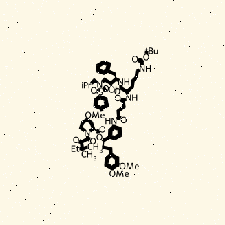 CCC(C)(C)C(=O)C(=O)N1CCCC[C@H]1C(=O)O[C@H](CCc1ccc(OC)c(OC)c1)c1cccc(NC(=O)CCC(=O)NC(CCCCNC(=O)OC(C)(C)C)C(=O)N[C@H](Cc2ccccc2)[C@@H](O)CN(CC(C)C)S(=O)(=O)c2ccc(OC)cc2)c1